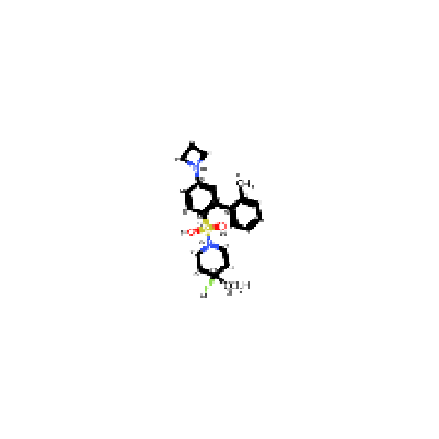 Cc1ccccc1-c1cc(N2CCC2)ccc1S(=O)(=O)N1CCC(F)(C(=O)O)CC1